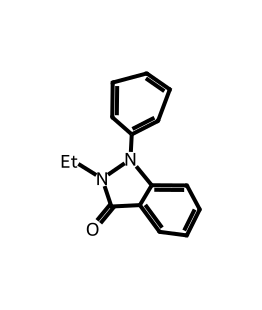 CCn1c(=O)c2ccccc2n1-c1ccccc1